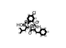 CC(C)CC(NC(=O)C(Cc1ccccc1)NS(=O)(=O)c1cc(Cl)ccc1Cl)B(O)O